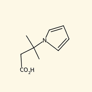 CC(C)(CC(=O)O)n1cccc1